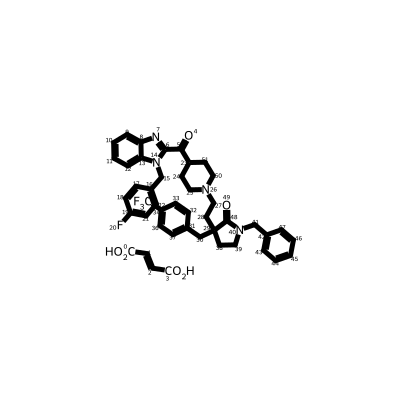 O=C(O)C=CC(=O)O.O=C(c1nc2ccccc2n1Cc1ccc(F)cc1)C1CCN(CCC2(Cc3ccc(C(F)(F)F)cc3)CCN(Cc3ccccc3)C2=O)CC1